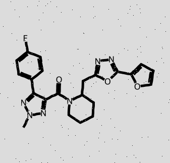 Cn1nc(C(=O)N2CCCCC2Cc2nnc(-c3ccco3)o2)c(-c2ccc(F)cc2)n1